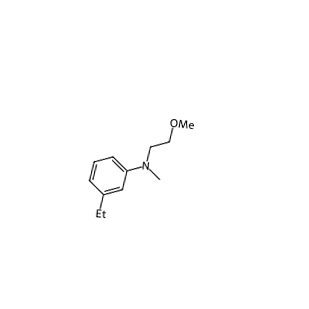 CCc1cccc(N(C)CCOC)c1